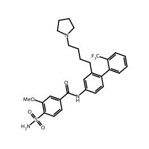 COc1cc(C(=O)Nc2ccc(-c3ccccc3C(F)(F)F)c(CCCCN3CCCC3)c2)ccc1S(N)(=O)=O